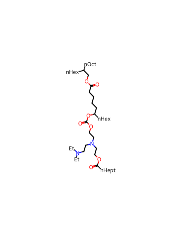 CCCCCCCCC(CCCCCC)COC(=O)CCCCC(CCCCCC)OC(=O)OCCN(CCOC(=O)CCCCCCC)CCN(CC)CC